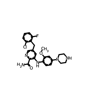 COc1cc(N2CCNCC2)ccc1Nc1cc(Cc2c(F)cccc2Cl)cnc1C(N)=O